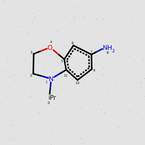 CC(C)N1CCOc2cc(N)ccc21